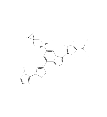 Cn1nccc1C1C=C(c2cc(S(=O)(=O)NC3(C#N)CC3)cn3c(-c4nnc(C(F)F)s4)nnc23)CC1